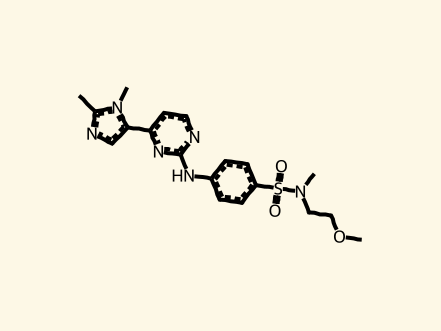 COCCN(C)S(=O)(=O)c1ccc(Nc2nccc(-c3cnc(C)n3C)n2)cc1